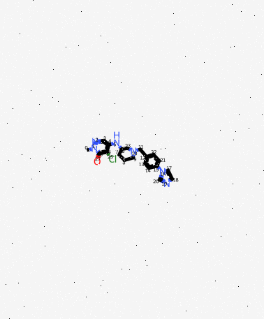 Cn1ncc(NC2CCCN(Cc3ccc(-n4ccnc4)cc3)C2)c(Cl)c1=O